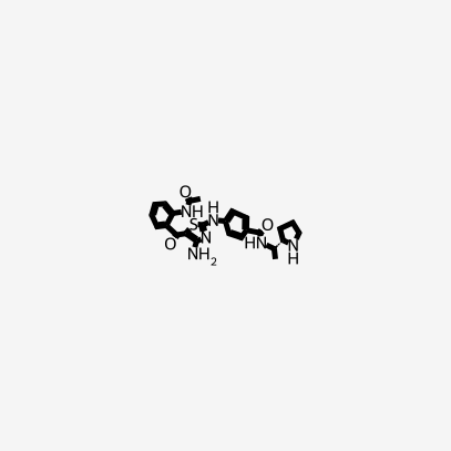 CC(=O)Nc1ccccc1C(=O)c1sc(Nc2ccc(C(=O)NC(C)[C@@H]3CCCN3)cc2)nc1N